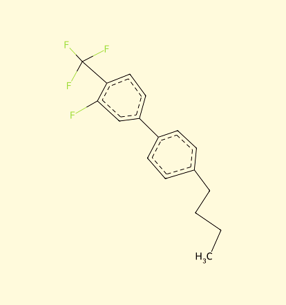 CCCCc1ccc(-c2ccc(C(F)(F)F)c(F)c2)cc1